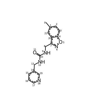 Cc1ccc2onc(CNC(=O)NCc3cccnc3)c2c1